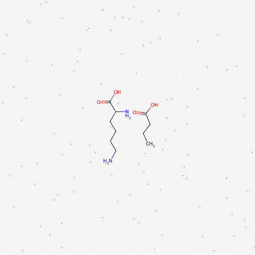 CCCC(=O)O.NCCCCC(N)C(=O)O